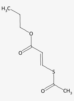 CCCOC(=O)C=CSC(C)=O